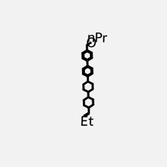 CC/C=C/C1CCC(C2CCC(c3ccc(-c4ccc(COCCC)cc4)cc3)CC2)CC1